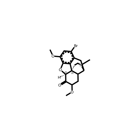 COc1cc(Br)c2c3c1O[C@@H]1C(=O)C(OC)CC4C(C2)N(C)CC[C@]341